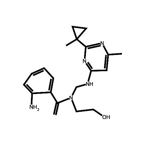 C=C(c1ccccc1N)N(CCO)CNc1cc(C)nc(C2(C)CC2)n1